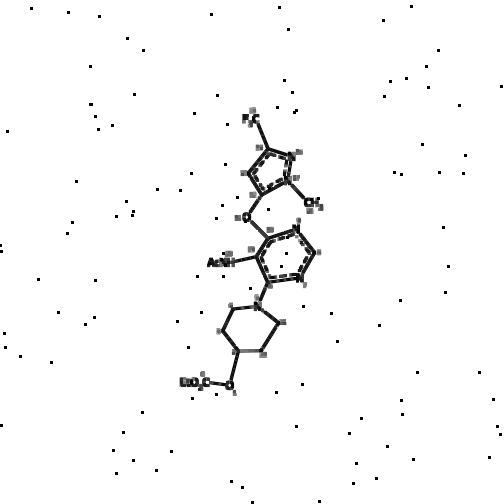 CCOC(=O)OC1CCN(c2ncnc(Oc3cc(C(F)(F)F)nn3C)c2NC(C)=O)CC1